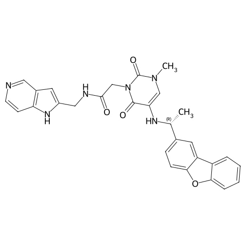 C[C@@H](Nc1cn(C)c(=O)n(CC(=O)NCc2cc3cnccc3[nH]2)c1=O)c1ccc2oc3ccccc3c2c1